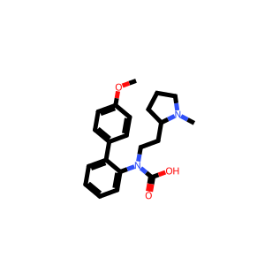 COc1ccc(-c2ccccc2N(CCC2CCCN2C)C(=O)O)cc1